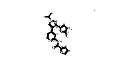 CC(C)n1cc(-c2ccnc(NC(=O)c3cccs3)c2)c(-c2ccc(Cl)s2)n1